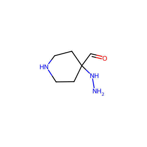 NNC1(C=O)CCNCC1